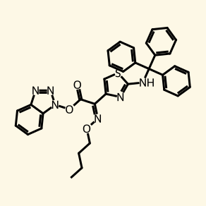 CCCCON=C(C(=O)On1nnc2ccccc21)c1csc(NC(c2ccccc2)(c2ccccc2)c2ccccc2)n1